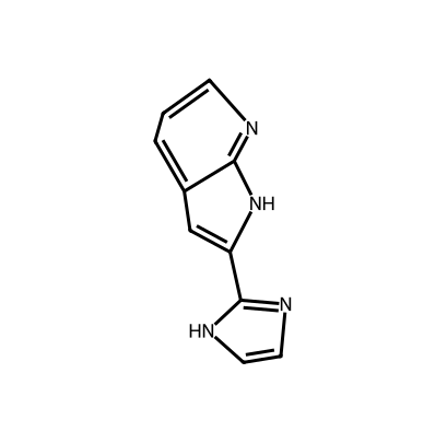 c1cnc2[nH]c(-c3ncc[nH]3)cc2c1